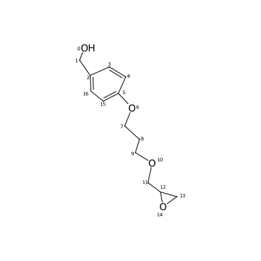 OCc1ccc(OCCCOCC2CO2)cc1